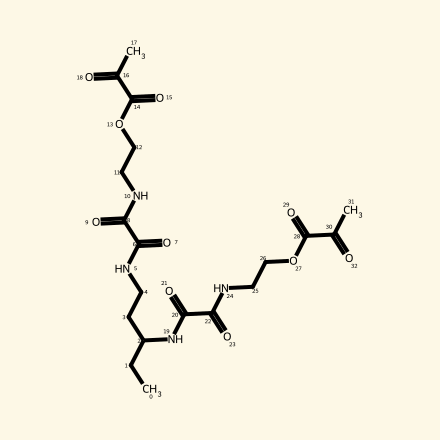 CCC(CCNC(=O)C(=O)NCCOC(=O)C(C)=O)NC(=O)C(=O)NCCOC(=O)C(C)=O